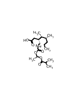 CCC[C@@H](C)[C@@H](C)[C@H](CNC(=O)O[C@H](C)OC(=O)C(C)C)CC(=O)O